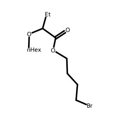 CCCCCCOC(CC)C(=O)OCCCCBr